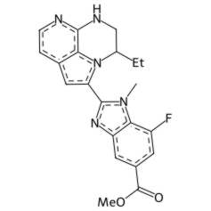 CCC1CNc2nccc3cc(-c4nc5cc(C(=O)OC)cc(F)c5n4C)n1c23